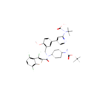 COc1ccc(-c2ccnc(N(C(=O)O)C(C)(C)C)c2)cc1CN(C(=O)c1sc2c(F)ccc(F)c2c1Cl)C1CCC(N(C)C(=O)OC(C)(C)C)CC1